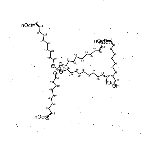 CCCCCCCC/C=C\CCCCCCCCO.CCCCCCCC/C=C\CCCCCCCCO[Si](OCCCCCCCC/C=C\CCCCCCCC)(OCCCCCCCC/C=C\CCCCCCCC)OCCCCCCCC/C=C\CCCCCCCC